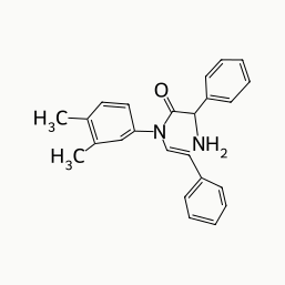 Cc1ccc(N(C=Cc2ccccc2)C(=O)C(N)c2ccccc2)cc1C